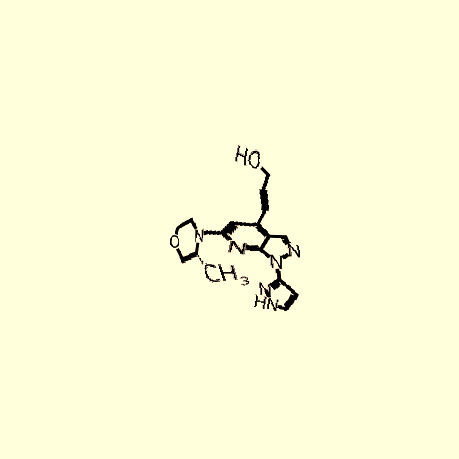 C[C@@H]1COCCN1c1cc(C#CCO)c2cnn(-c3cc[nH]n3)c2n1